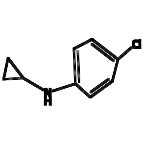 Clc1ccc(NC2CC2)cc1